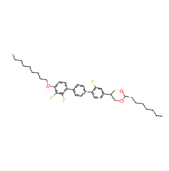 CCCCCCCCCOc1ccc(-c2ccc(-c3ccc(C4COC(CCCCCCC)OC4)cc3F)cc2)c(F)c1F